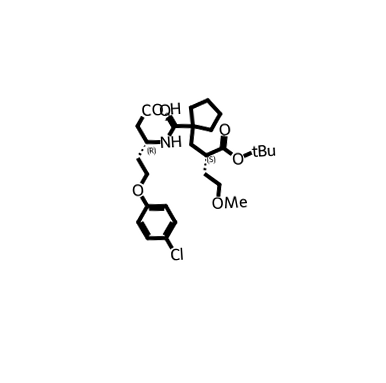 COCC[C@H](CC1(C(=O)N[C@H](CCOc2ccc(Cl)cc2)CC(=O)O)CCCC1)C(=O)OC(C)(C)C